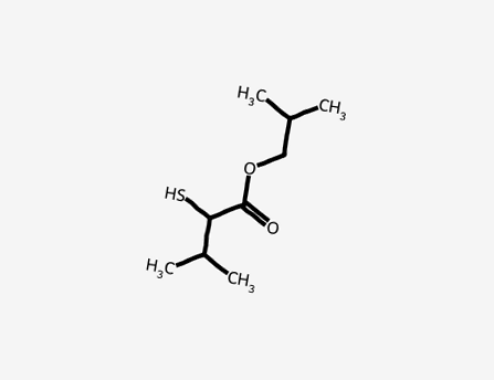 CC(C)COC(=O)C(S)C(C)C